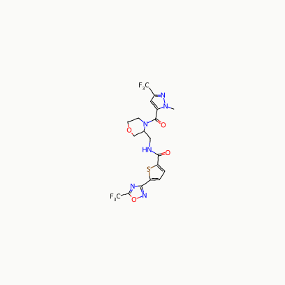 Cn1nc(C(F)(F)F)cc1C(=O)N1CCOCC1CNC(=O)c1ccc(-c2noc(C(F)(F)F)n2)s1